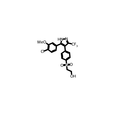 COc1cc(-c2[nH]nc(C(F)(F)F)c2-c2ccc(S(=O)(=O)CCO)cc2)ccc1Cl